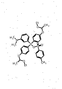 CCOC(C)Oc1ccc(S(OS(=O)(=O)c2ccc(C)cc2)(c2ccc(OC(C)OCC)cc2)c2cccc(N(C)C)c2)cc1